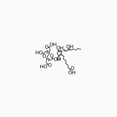 CCCCC[C@H](O)/C=C/[C@H]1[C@H](O)CC(=O)[C@@H]1CCCCCCC(=O)O.O=C(O)CN(CCN(CC(=O)O)CC(=O)O)CC(=O)O